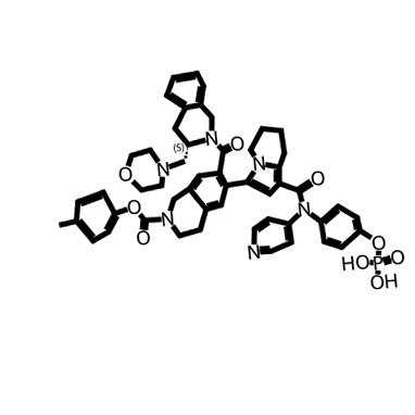 Cc1ccc(OC(=O)N2CCc3cc(-c4cc(C(=O)N(c5ccncc5)c5ccc(OP(=O)(O)O)cc5)c5n4CCCC5)c(C(=O)N4Cc5ccccc5C[C@H]4CN4CCOCC4)cc3C2)cc1